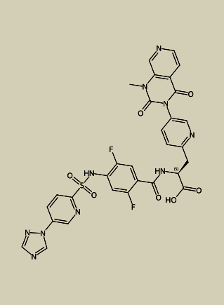 Cn1c(=O)n(-c2ccc(C[C@H](NC(=O)c3cc(F)c(NS(=O)(=O)c4ccc(-n5cncn5)cn4)cc3F)C(=O)O)nc2)c(=O)c2ccncc21